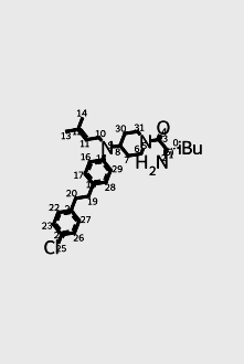 CCC(C)[C@H](N)C(=O)N1CCC(N(CC=C(C)C)c2ccc(CCc3ccc(Cl)cc3)cc2)CC1